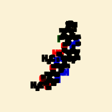 Cn1nc(-c2cccc(-n3ncc4cc(C(C)(C)C)cc(F)c4c3=O)c2CO)cc(Nc2ccc(S(C)(=O)=O)cn2)c1=O